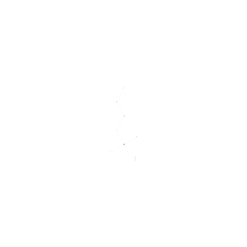 ClCCCC(Cl)(Cl)Cl